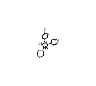 O=c1n(C2CCCCCC2)nc(-c2ccncc2)n1-c1ccc(F)cc1